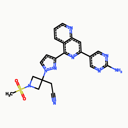 CS(=O)(=O)N1CC(CC#N)(n2ccc(-c3nc(-c4cnc(N)nc4)cc4ncccc34)n2)C1